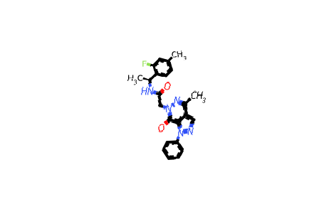 Cc1ccc([C@H](C)NC(=O)Cn2nc(C)c3cnn(-c4ccccc4)c3c2=O)c(F)c1